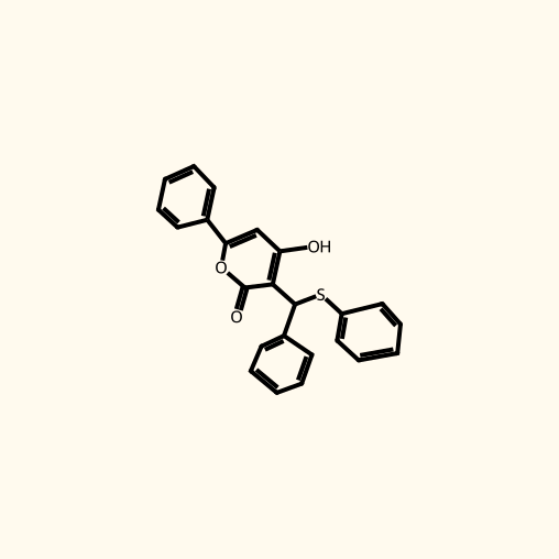 O=c1oc(-c2ccccc2)cc(O)c1C(Sc1ccccc1)c1ccccc1